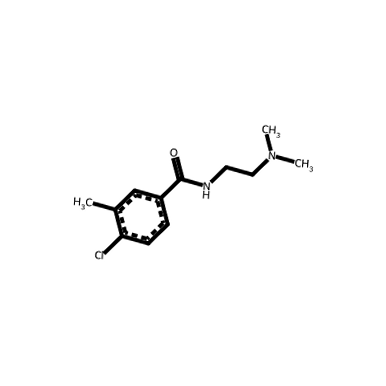 Cc1cc(C(=O)NCCN(C)C)ccc1Cl